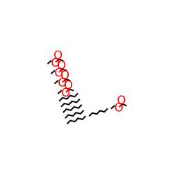 CCCCCC.CCCCCC.CCCCCC.CCCCCC.CCCCCC.CCCCCC.CCOC(C)=O.CCOC(C)=O.CCOC(C)=O.CCOC(C)=O.CCOC(C)=O